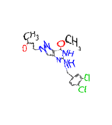 COC1NC(NCc2ccc(Cl)c(Cl)c2)=Nc2cn(CCC(C)=O)nc21